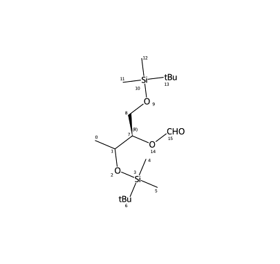 CC(O[Si](C)(C)C(C)(C)C)[C@@H](CO[Si](C)(C)C(C)(C)C)OC=O